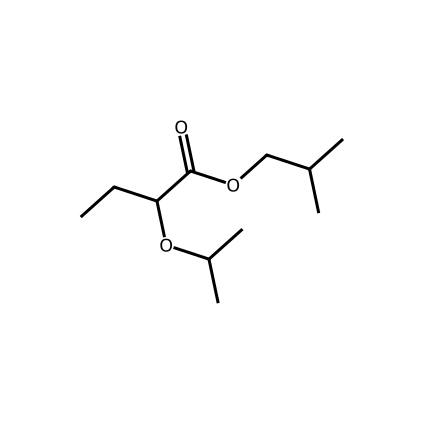 CCC(OC(C)C)C(=O)OCC(C)C